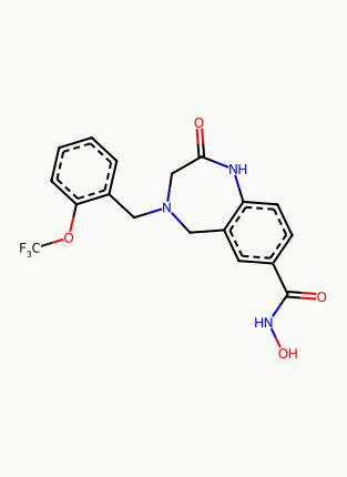 O=C1CN(Cc2ccccc2OC(F)(F)F)Cc2cc(C(=O)NO)ccc2N1